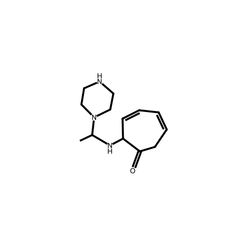 CC(NC1C=CC=CCC1=O)N1CCNCC1